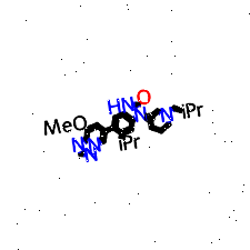 COc1cc(-c2cc3[nH]c(=O)n([C@@H]4CCCN(CC(C)C)C4)c3cc2C(C)C)cn2ncnc12